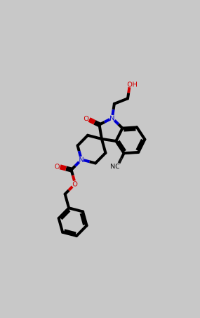 N#Cc1cccc2c1C1(CCN(C(=O)OCc3ccccc3)CC1)C(=O)N2CCO